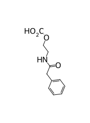 O=C(Cc1ccccc1)NCCOC(=O)O